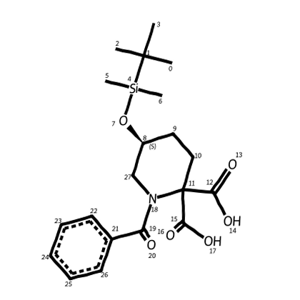 CC(C)(C)[Si](C)(C)O[C@H]1CCC(C(=O)O)(C(=O)O)N(C(=O)c2ccccc2)C1